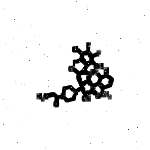 C=CC(=O)N1CCN(c2c(C#N)c(=O)n(C3=C(C)C=CNC3C(C)C)c3nc(-c4c(O)c(F)c(F)c(Cl)c4F)c(Cl)cc23)CC1